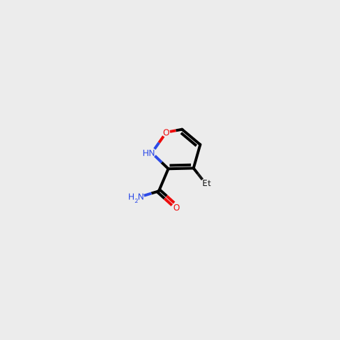 CCC1=C(C(N)=O)NOC=C1